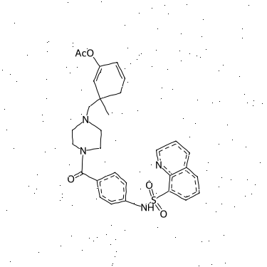 CC(=O)OC1=CC(C)(CN2CCN(C(=O)c3ccc(NS(=O)(=O)c4cccc5cccnc45)cc3)CC2)CC=C1